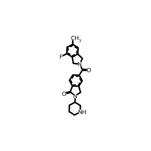 Cc1cc(F)c2c(c1)CN(C(=O)c1ccc3c(c1)CN(C1CCCNC1)C3=O)C2